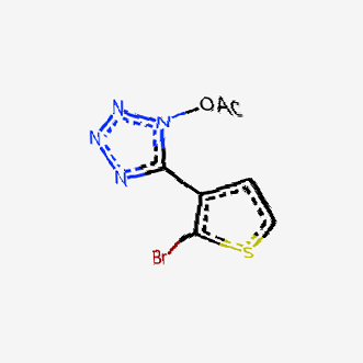 CC(=O)On1nnnc1-c1ccsc1Br